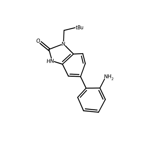 CC(C)(C)Cn1c(=O)[nH]c2cc(-c3ccccc3N)ccc21